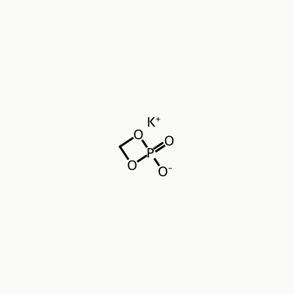 O=P1([O-])OCO1.[K+]